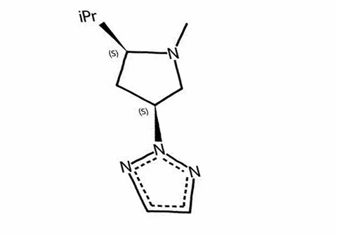 CC(C)[C@@H]1C[C@H](n2nccn2)CN1C